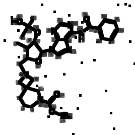 CC1C(CN2CC3(CCCN(C(=O)OC(C)(C)C)C3)C2)OC(n2cnc3c(NC(=O)c4ccccc4)ncnc32)[C@@H]1OC(C)(C)O